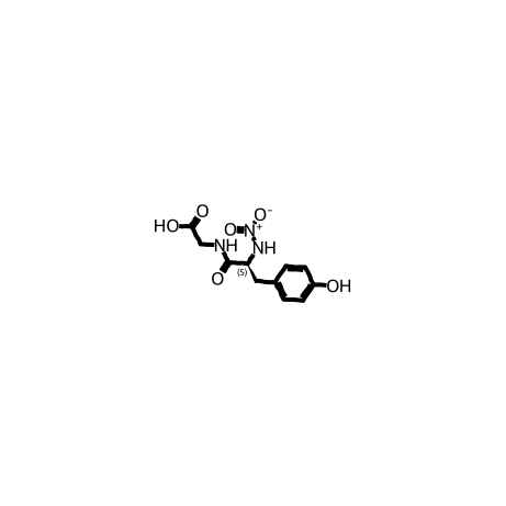 O=C(O)CNC(=O)[C@H](Cc1ccc(O)cc1)N[N+](=O)[O-]